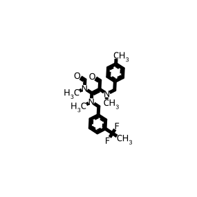 Cc1ccc(CN(C)/C(C=O)=C(/N(C)C=O)N(C)Cc2cccc(C(C)(F)F)c2)cc1